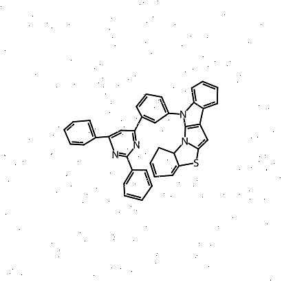 C1=CCC2C(=C1)Sc1cc3c4ccccc4n(-c4cccc(-c5cc(-c6ccccc6)nc(-c6ccccc6)n5)c4)c3n12